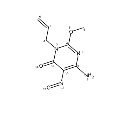 C=CCn1c(OC)nc(N)c(N=O)c1=O